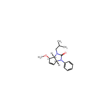 CO[C@@H]1C=C[C@@H]2[C@H]1N(CC(C)C)C(=O)N2c1ccccc1